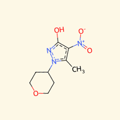 Cc1c([N+](=O)[O-])c(O)nn1C1CCOCC1